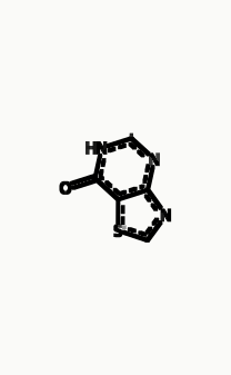 O=c1[nH][c]nc2ncsc12